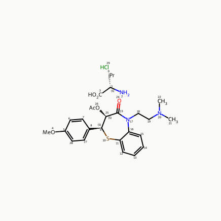 CC(C)[C@H](N)C(=O)O.COc1ccc([C@@H]2Sc3ccccc3N(CCN(C)C)C(=O)[C@@H]2OC(C)=O)cc1.Cl